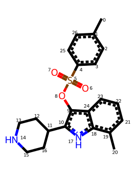 Cc1ccc(S(=O)(=O)Oc2c(C3CCNCC3)[nH]c3c(C)cccc23)cc1